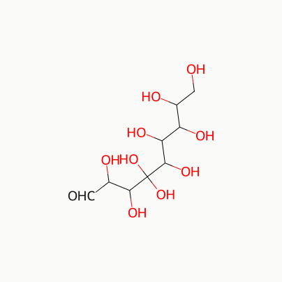 O=CC(O)C(O)C(O)(O)C(O)C(O)C(O)C(O)CO